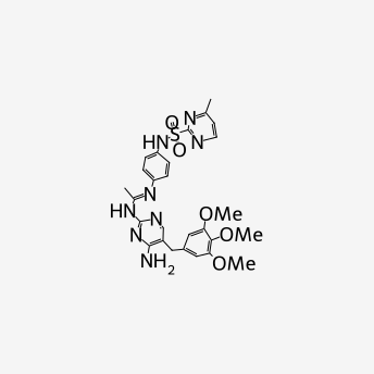 COc1cc(Cc2cnc(NC(C)=Nc3ccc(NS(=O)(=O)c4nccc(C)n4)cc3)nc2N)cc(OC)c1OC